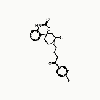 O=C1Nc2ccccc2C2(CCN(CCCC(=O)c3ccc(F)cc3)C(Cl)C2)O1